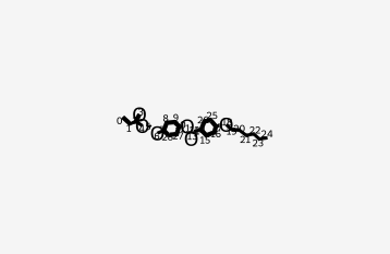 C=CC(=O)OCOc1ccc(OC(=O)c2ccc(OCCCCCC)cc2)cc1